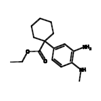 CCOC(=O)C1(c2ccc(NC)c(N)c2)CCCCC1